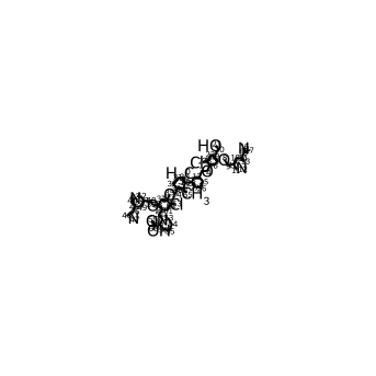 Cc1c(COc2cc(OCc3cncc(C4=NC4)c3)c(CO)cc2Cl)cccc1-c1cccc(COc2cc(OCc3cncc(C4=NC4)c3)c(CN3CCCC[C@H]3C(=O)O)cc2Cl)c1C